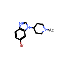 CC(=O)N1CCC(n2cnc3ccc(Br)cc32)CC1